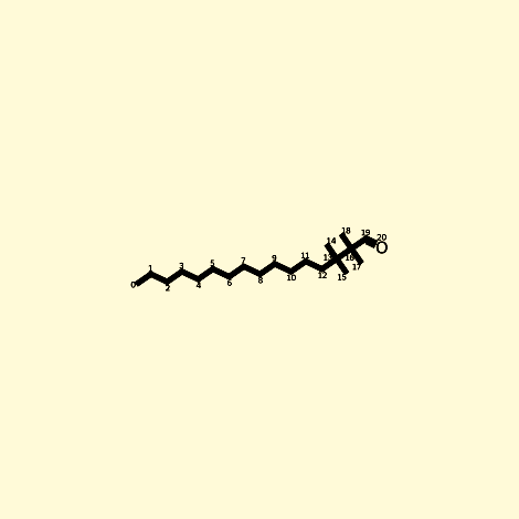 CCCCCCCCCCCCCC(C)(C)C(C)(C)[C]=O